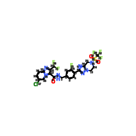 O=C(NCc1ccc(-c2nc3n(n2)CCN(S(=O)(=O)C(F)(F)F)C3)c(F)c1)c1c(C(F)F)nc2ccc(Cl)cn12